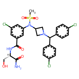 CS(=O)(=O)N(c1cc(Cl)cc(C(=O)N[C@@H](CO)C(N)=O)c1)C1CN(C(c2ccc(Cl)cc2)c2ccc(Cl)cc2)C1